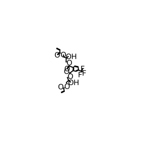 C=CC(=O)OCC(O)COC(=O)c1ccc(C(F)(F)F)cc1C(=O)OCC(O)COC(=O)C=C